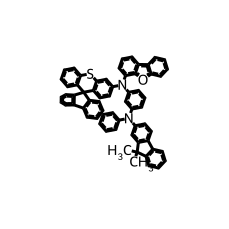 CC1(C)c2ccccc2-c2ccc(N(c3ccccc3)c3cccc(N(c4ccc5c(c4)Sc4ccccc4C54c5ccccc5-c5ccccc54)c4cccc5c4oc4ccccc45)c3)cc21